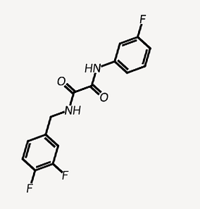 O=C(NCc1ccc(F)c(F)c1)C(=O)Nc1cccc(F)c1